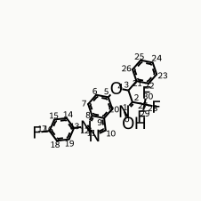 ON=C(C(Oc1ccc2c(cnn2-c2ccc(F)cc2)c1)c1ccccc1)C(F)(F)F